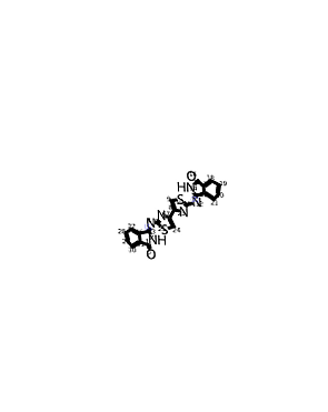 O=C1N/C(=N\c2nc(-c3csc(/N=C4\NC(=O)c5ccccc54)n3)cs2)c2ccccc21